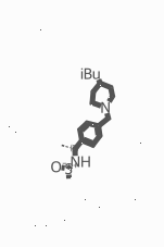 CCC(C)C1CCN(Cc2ccc([C@@H](C)N[S+](C)[O-])cc2)CC1